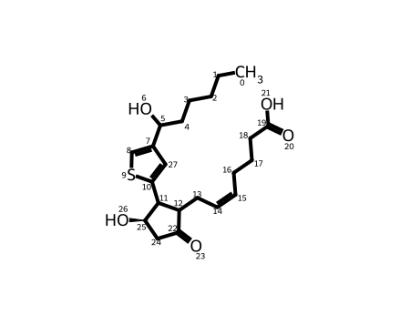 CCCCCC(O)c1csc(C2C(C/C=C\CCCC(=O)O)C(=O)C[C@H]2O)c1